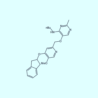 CCCCNc1nc(C)ncc1OCc1cc(OC2Cc3ccccc3C2)c(OC)cn1